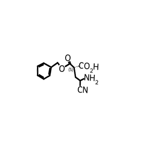 N#CC(N)C[C@@H](C(=O)O)C(=O)OCc1ccccc1